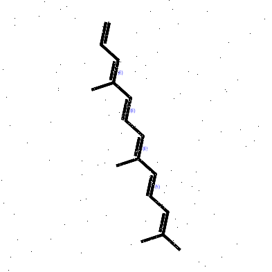 [CH]=C/C=C(C)/C=C/C=C(C)/C=C/C=C(C)C